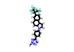 Cn1nnc(-c2ccc(N3CCC4c5ccc(C(F)(C(F)(F)F)C(F)(F)F)cc5CCC43)cc2)n1